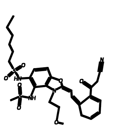 CCCCCCS(=O)(=O)Nc1ccc2c(c1NS(C)(=O)=O)N(CCOC)C(=CC=C1CC=CC=C1C(=O)CC#N)O2